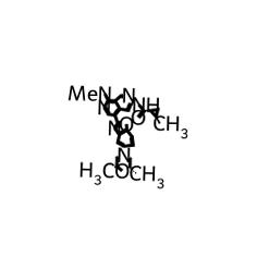 CNc1ncc(-c2nc3cc(N4C[C@@H](C)O[C@@H](C)C4)ccc3o2)c2cc(NC(=O)[C@H]3C[C@H]3C)ncc12